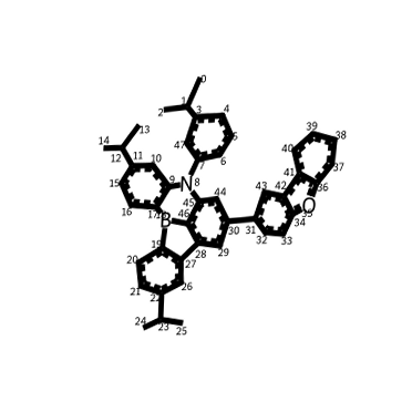 CC(C)c1cccc(N2c3cc(C(C)C)ccc3B3c4ccc(C(C)C)cc4-c4cc(-c5ccc6oc7ccccc7c6c5)cc2c43)c1